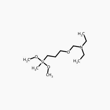 CCN(CC)COCCC[Si](C)(OC)OC